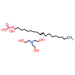 CCCCCCCCC=CCCCCCCCCOP(=O)(O)O.OCCN(CCO)CCO